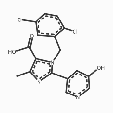 Cc1nc(-c2cncc(O)c2)n(Cc2cc(Cl)ccc2Cl)c1C(=O)O